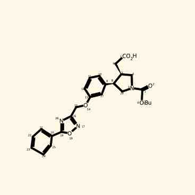 CC(C)COC(=O)N1C[C@H](CC(=O)O)[C@H](c2cccc(OCc3noc(-c4ccccc4)n3)c2)C1